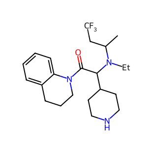 CCN(C(C)CC(F)(F)F)C(C(=O)N1CCCc2ccccc21)C1CCNCC1